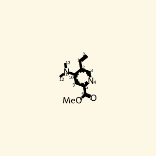 C=Cc1cnc(C(=O)OC)cc1N(C)C